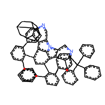 c1ccc(-c2cccc(-c3ccccc3)c2-c2cc(-c3c(-c4ccccc4)cccc3-c3ccccc3)c3c4c5c(ncc4n4c6cnc7c(c6c2c34)-c2ccccc2C7(c2ccccc2)c2ccccc2)C2CC3CC(C2)CC5C3)cc1